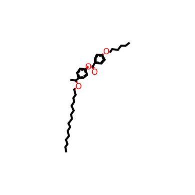 CCCCCCCCCCCCCCCCOC(C)c1ccc(OC(=O)c2ccc(OCCCCCC)cc2)cc1